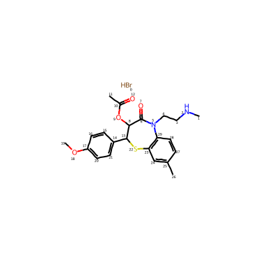 Br.CNCCN1C(=O)C(OC(C)=O)C(c2ccc(OC)cc2)Sc2cc(C)ccc21